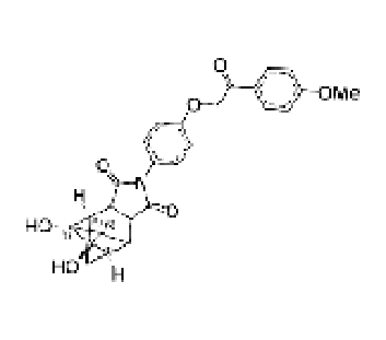 COc1ccc(C(=O)COc2ccc(N3C(=O)C4C5[C@H]6CC67[C@H](C4C3=O)[C@@]7(O)[C@H]5O)cc2)cc1